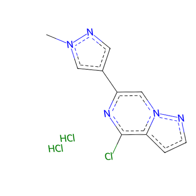 Cl.Cl.Cn1cc(-c2cn3nccc3c(Cl)n2)cn1